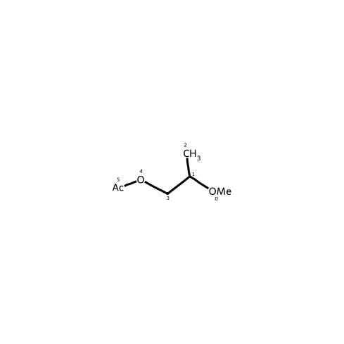 COC(C)COC(C)=O